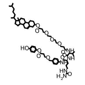 CC(C)CCCC(C)C1CCC2C3CC=C4CC(OC(=O)CCOCCOCCOCCC(=O)NC(C(=O)NC(CCCNC(N)=O)C(=O)Nc5ccc(COCCC(=O)Oc6ccc(O)cc6)cc5)C(C)C)CCC4C3CCC12C